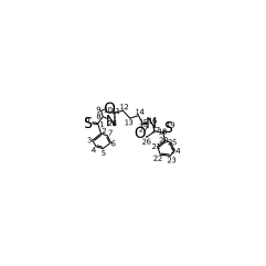 S=C(c1ccccc1)C1COC(CCCC2=NC(C(=S)c3ccccc3)CO2)=N1